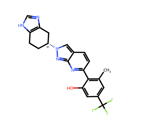 Cc1cc(C(F)(F)F)cc(O)c1-c1ccc2cn([C@@H]3CCc4[nH]cnc4C3)nc2n1